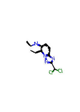 C=C/N=c1/ccc2nc(C(Cl)Cl)nn2/c1=C/C